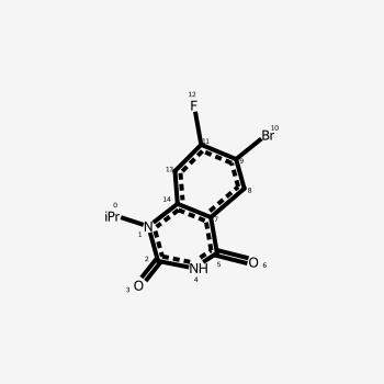 CC(C)n1c(=O)[nH]c(=O)c2cc(Br)c(F)cc21